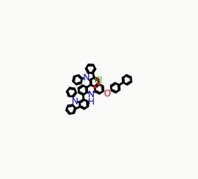 Clc1cc(Nc2c(-c3cccc4c5ccccc5n(-c5ccccc5)c34)cccc2-c2cccc3c4ccccc4n(-c4ccccc4)c23)cc(Oc2ccc(-c3ccccc3)cc2)c1